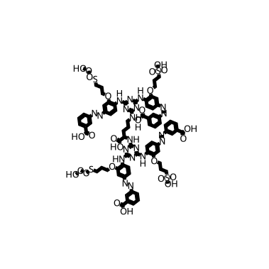 O=C(O)c1cccc(N=Nc2ccc(Nc3nc(NCCCC(Nc4nc(Nc5ccc(N=Nc6cccc(C(=O)O)c6)cc5OCCCSOOO)nc(Nc5ccc(N=Nc6cccc(C(=O)O)c6)cc5OCCCS(=O)(=O)O)n4)C(=O)O)nc(Nc4ccc(N=Nc5cccc(C(=O)O)c5)cc4OCCCS(=O)(=O)O)n3)c(OCCCSOOO)c2)c1